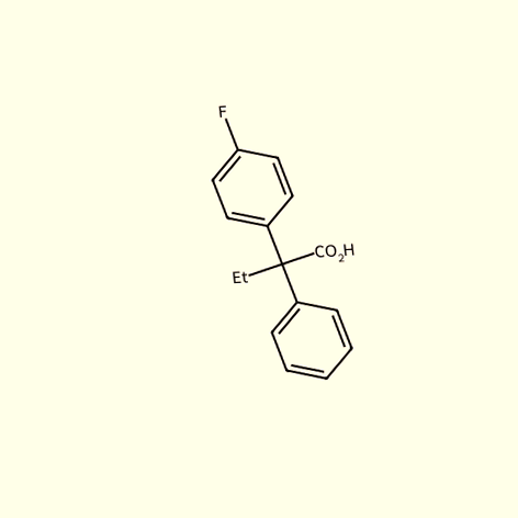 CCC(C(=O)O)(c1ccccc1)c1ccc(F)cc1